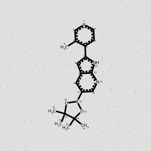 Cc1cnccc1-c1cc2cc(B3OC(C)(C)C(C)(C)O3)cnc2[nH]1